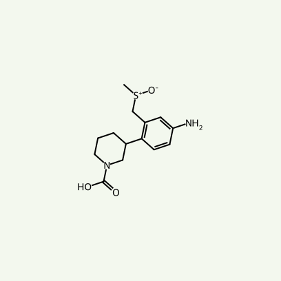 C[S+]([O-])Cc1cc(N)ccc1C1CCCN(C(=O)O)C1